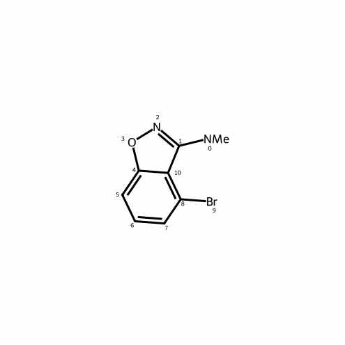 CNc1noc2cccc(Br)c12